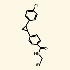 CC(C)CNC(=O)c1ccc(C2CC2c2ccc(Cl)cc2)cc1